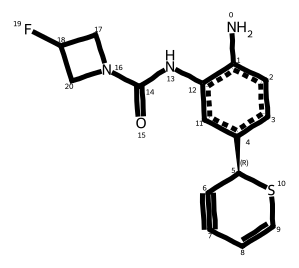 Nc1ccc([C@@H]2C#CC=CS2)cc1NC(=O)N1CC(F)C1